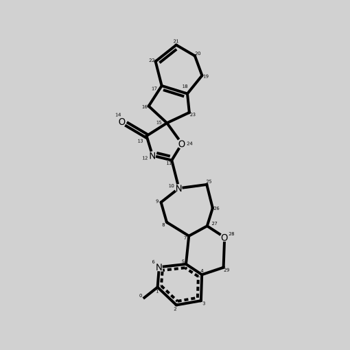 Cc1ccc2c(n1)C1CCN(C3=NC(=O)C4(CC5=C(CCC=C5)C4)O3)CCC1OC2